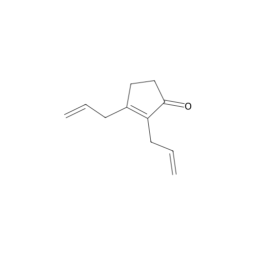 C=CCC1=C(CC=C)C(=O)CC1